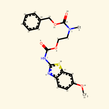 CCN(CCOC(=O)Nc1nc2ccc(OC(F)(F)F)cc2s1)C(=O)OCc1ccccc1